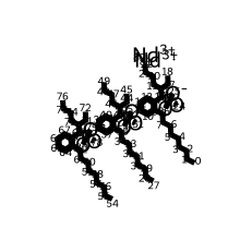 CCCCCCCCCc1ccccc1C(C(CC)CCCC)P(=O)([O-])[O-].CCCCCCCCCc1ccccc1C(C(CC)CCCC)P(=O)([O-])[O-].CCCCCCCCCc1ccccc1C(C(CC)CCCC)P(=O)([O-])[O-].[Nd+3].[Nd+3]